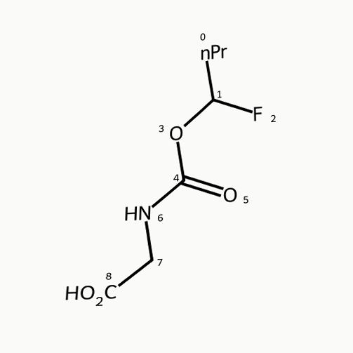 CCCC(F)OC(=O)NCC(=O)O